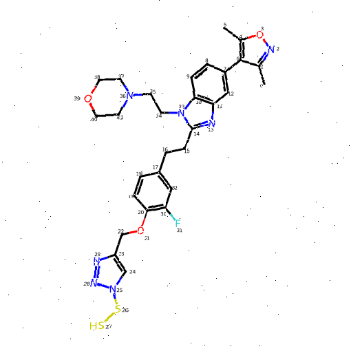 Cc1noc(C)c1-c1ccc2c(c1)nc(CCc1ccc(OCc3cn(SS)nn3)c(F)c1)n2CCN1CCOCC1